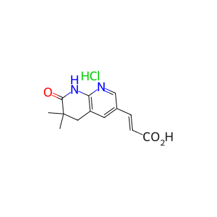 CC1(C)Cc2cc(C=CC(=O)O)cnc2NC1=O.Cl